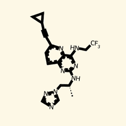 C[C@H](Cn1cncn1)Nc1nc(NCC(F)(F)F)c2nc(C#CC3CC3)ccc2n1